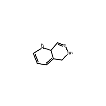 C1=CNC2C=NNCC2=C1